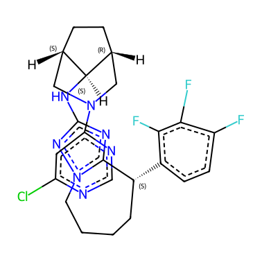 Fc1ccc([C@@H]2CCCCn3nc(N[C@@H]4[C@@H]5CC[C@H]4CN(c4cc(Cl)ncn4)C5)nc32)c(F)c1F